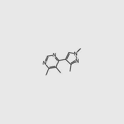 Cc1nn(C)cc1-c1ncnc(C)c1C